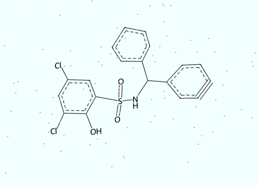 O=S(=O)(NC(c1cc#ccc1)c1ccccc1)c1cc(Cl)cc(Cl)c1O